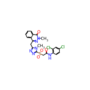 Cn1c(Cc2nn(C)c(=O)c3ccccc23)nnc1S(=O)(=O)CC(=O)Nc1ccc(Cl)cc1Cl